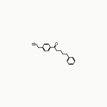 CC(C)(C)Cc1ccc(C(=O)CCCCc2ccccc2)cc1